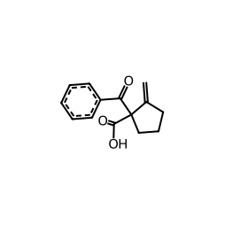 C=C1CCCC1(C(=O)O)C(=O)c1ccccc1